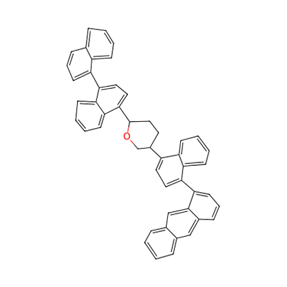 c1ccc2cc3c(-c4ccc(C5CCC(c6ccc(-c7cccc8ccccc78)c7ccccc67)OC5)c5ccccc45)cccc3cc2c1